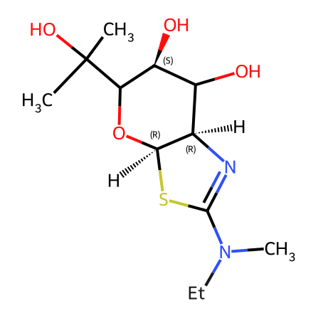 CCN(C)C1=N[C@@H]2C(O)[C@H](O)C(C(C)(C)O)O[C@@H]2S1